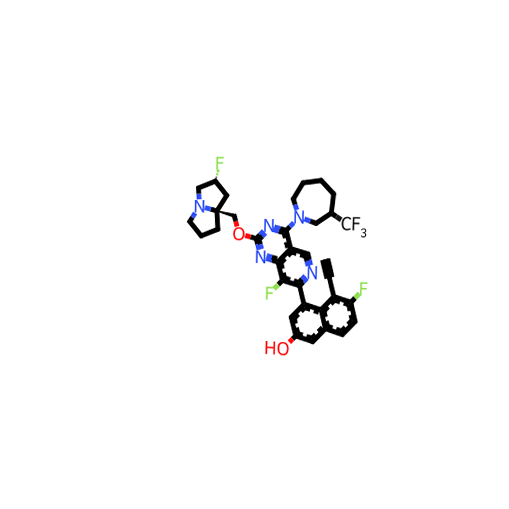 C#Cc1c(F)ccc2cc(O)cc(-c3ncc4c(N5CCCCC(C(F)(F)F)C5)nc(OC[C@@]56CCCN5C[C@H](F)C6)nc4c3F)c12